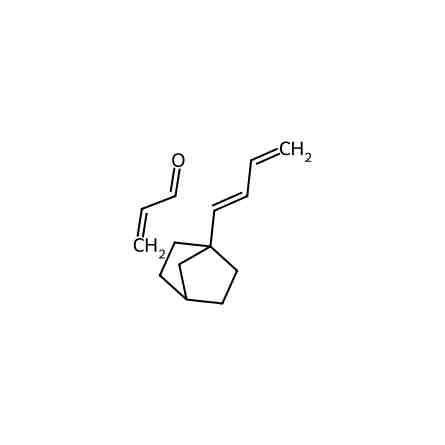 C=CC=CC12CCC(CC1)C2.C=CC=O